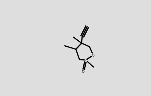 C#CC1(C)COP(C)(=O)CC1C